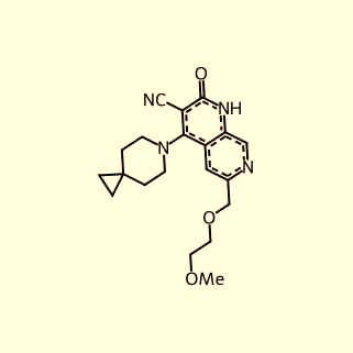 COCCOCc1cc2c(N3CCC4(CC3)CC4)c(C#N)c(=O)[nH]c2cn1